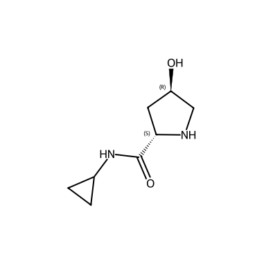 O=C(NC1CC1)[C@@H]1C[C@@H](O)CN1